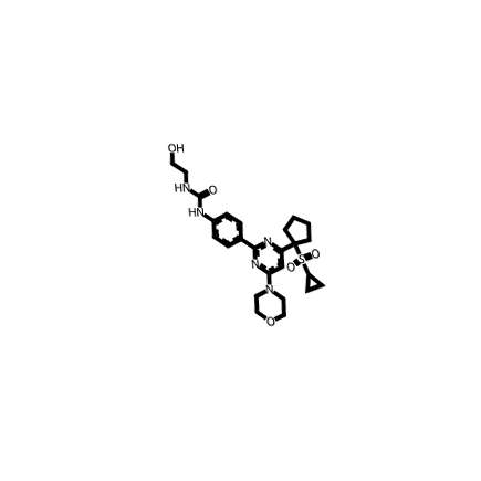 O=C(NCCO)Nc1ccc(-c2nc(N3CCOCC3)cc(C3(S(=O)(=O)C4CC4)CCCC3)n2)cc1